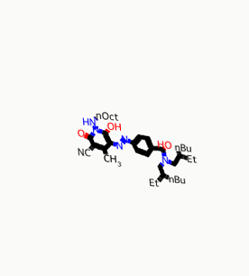 CCCCCCCCNn1c(O)c(/N=N/c2ccc(C(O)N(CC(CC)CCCC)CC(CC)CCCC)cc2)c(C)c(C#N)c1=O